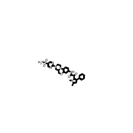 Cc1cc(-c2ccccc2)c(C(=O)C(=O)Nc2ccc3c(c2)OCC2CN(c4ncc(S(N)(=O)=O)cn4)CCN32)n1C